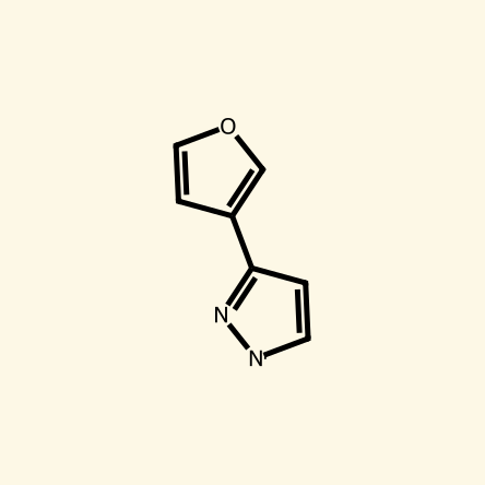 C1=CC(c2ccoc2)=N[N]1